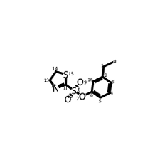 CCc1cccc(OS(=O)(=O)C2=NCCS2)c1